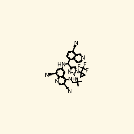 CC(C)(C)CNc1c(C#N)cnc2c(C#N)cc(NC(c3cn(C4(C(F)(F)F)CC4)nn3)c3ccc(C#N)c4cnccc34)cc12